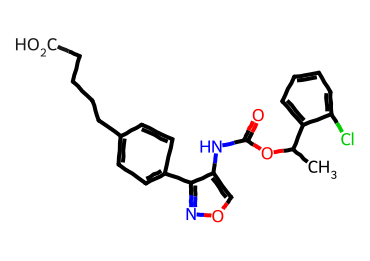 CC(OC(=O)Nc1conc1-c1ccc(CCCCC(=O)O)cc1)c1ccccc1Cl